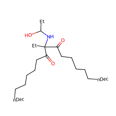 CCCCCCCCCCCCCCCC(=O)C(CC)(NC(O)CC)C(=O)CCCCCCCCCCCCCCC